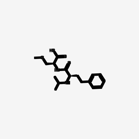 COC[C@H](NC(=O)[C@H](CCc1ccccc1)NC(C)C)C(=O)O